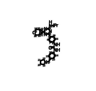 CC(C)Nc1nc(-c2ccc(NC(=O)Nc3ccc(CN4CCCC4)cc3)cc2)nc(N2C3CCC2COC3)n1